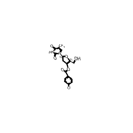 O=C(OC1C[C@@H](n2cc(C(F)(F)F)c(=O)[nH]c2=O)O[C@H]1CO)c1ccc(Cl)cc1